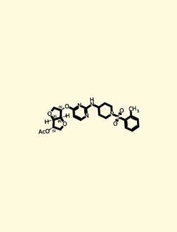 CC(=O)O[C@H]1CO[C@H]2[C@@H]1OC[C@@H]2Oc1ccnc(NC2CCN(S(=O)(=O)c3ccccc3C)CC2)n1